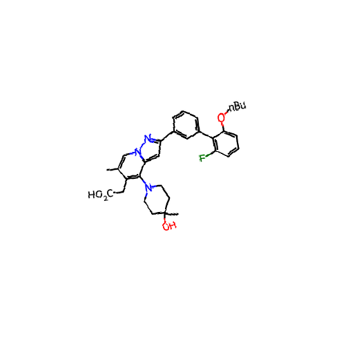 CCCCOc1cccc(F)c1-c1cccc(-c2cc3c(N4CCC(C)(O)CC4)c(CC(=O)O)c(C)cn3n2)c1